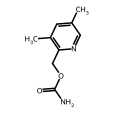 Cc1cnc(COC(N)=O)c(C)c1